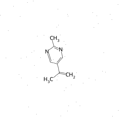 C=C(C)c1cnc(C)nc1